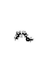 C[C@H](NC(=O)c1cc(C(F)(F)F)nn1C)c1cnc(-c2cccc(C(F)(F)F)c2)s1